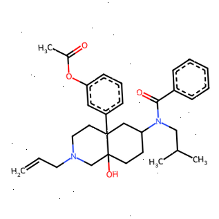 C=CCN1CCC2(c3cccc(OC(C)=O)c3)CC(N(CC(C)C)C(=O)c3ccccc3)CCC2(O)C1